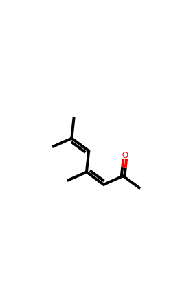 CC(=O)/C=C(/C)C=C(C)C